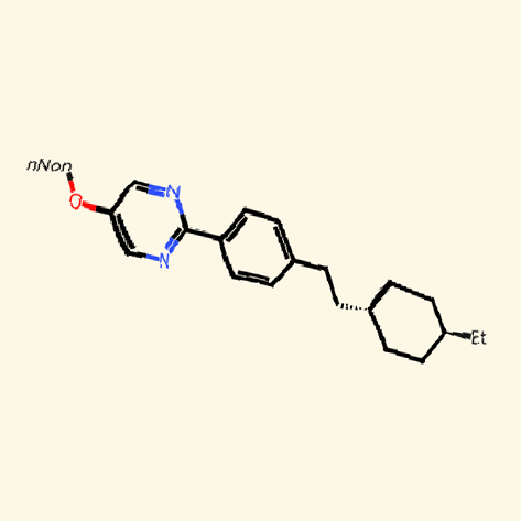 CCCCCCCCCOc1cnc(-c2ccc(CC[C@H]3CC[C@H](CC)CC3)cc2)nc1